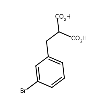 O=C(O)C(Cc1cccc(Br)c1)C(=O)O